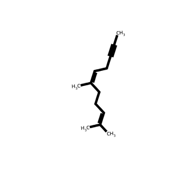 CC#CCC=C(C)CCC=C(C)C